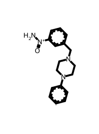 N[N+](=O)c1cccc(CN2CCN(c3cc[c]cc3)CC2)c1